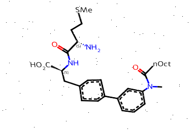 CCCCCCCCC(=O)N(C)c1cccc(-c2ccc(C[C@H](NC(=O)[C@@H](N)CCSC)C(=O)O)cc2)c1